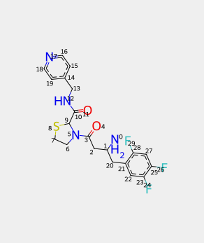 NC(CC(=O)N1CCSC1C(=O)NCc1ccncc1)Cc1cc(F)c(F)cc1F